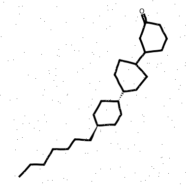 CCCCCCC[C@H]1CC[C@H](C2CCC(C3CCCC(=O)C3)CC2)CC1